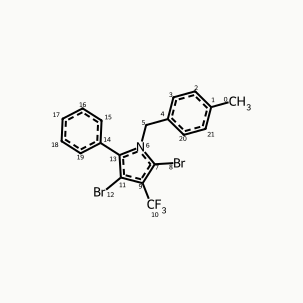 Cc1ccc(Cn2c(Br)c(C(F)(F)F)c(Br)c2-c2ccccc2)cc1